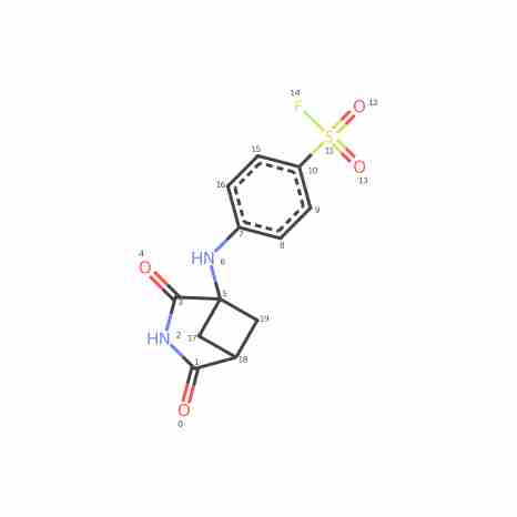 O=C1NC(=O)C2(Nc3ccc(S(=O)(=O)F)cc3)CC1C2